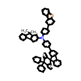 CC1(C)c2ccccc2-c2ccc(N(c3ccc(-c4ccc5c(c4)C4(c6ccccc6-5)c5ccccc5C(c5ccccc5)(c5ccccc5)c5ccccc54)cc3)c3ccc(-c4ccc5sc6ccccc6c5c4)cc3)cc21